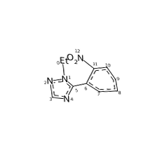 CCn1ncnc1-c1ccccc1[N+](=O)[O-]